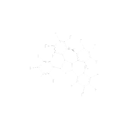 Fc1c(F)c(F)c(C2=CC(c3c(F)c(F)c(F)c(F)c3F)=C(c3c(F)c(F)c(F)c(F)c3F)C2c2c(F)c(F)c(F)c(F)c2F)c(F)c1F